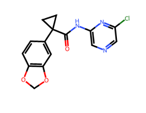 O=C(Nc1cncc(Cl)n1)C1(c2ccc3c(c2)OCO3)CC1